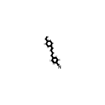 CCC1CCC(C=CCCc2ccc(C#N)cc2)CC1